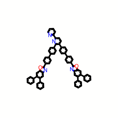 c1ccc(-c2cc3nc(-c4ccc(-c5ccc(-c6ccc(-c7ccccn7)nc6-c6ccc(-c7ccc(-c8nc9cc(-c%10ccccc%10)c(-c%10ccccc%10)cc9o8)cc7)cc6)cc5)cc4)oc3cc2-c2ccccc2)cc1